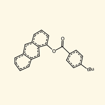 CC(C)(C)c1ccc(C(=O)Oc2cccc3cc4ccccc4cc23)cc1